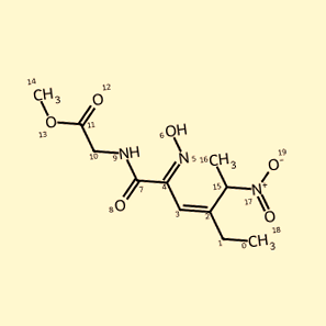 CCC(=CC(=NO)C(=O)NCC(=O)OC)C(C)[N+](=O)[O-]